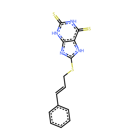 S=c1[nH]c(=S)c2[nH]c(SC/C=C/c3ccccc3)nc2[nH]1